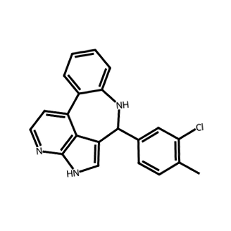 Cc1ccc(C2Nc3ccccc3-c3ccnc4[nH]cc2c34)cc1Cl